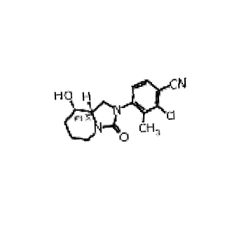 Cc1c(N2C[C@H]3[C@H](O)CCCN3C2=O)ccc(C#N)c1Cl